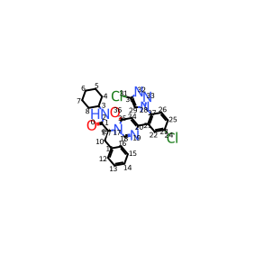 O=C(NC1CCCCC1)[C@H](Cc1ccccc1)n1cnc(-c2cc(Cl)ccc2-n2cc(Cl)nn2)cc1=O